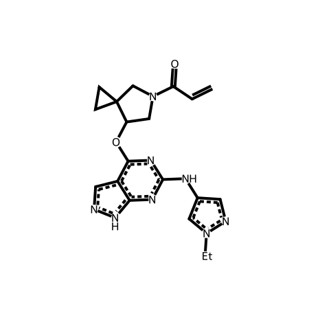 C=CC(=O)N1CC(Oc2nc(Nc3cnn(CC)c3)nc3[nH]ncc23)C2(CC2)C1